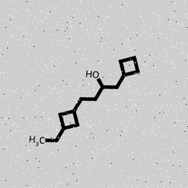 CCC1CC(CCC(O)CC2CCC2)C1